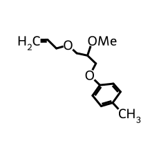 C=CCOCC(COc1ccc(C)cc1)OC